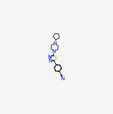 N#Cc1ccc(-c2nnc(N3CCN(C4CCCC4)CC3)s2)cc1